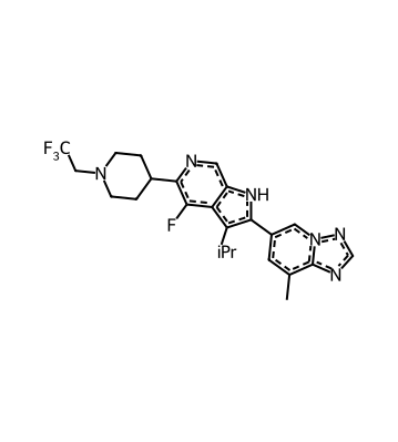 Cc1cc(-c2[nH]c3cnc(C4CCN(CC(F)(F)F)CC4)c(F)c3c2C(C)C)cn2ncnc12